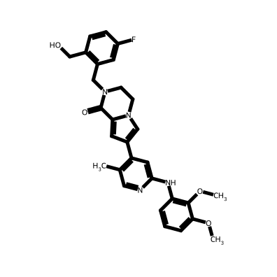 COc1cccc(Nc2cc(-c3cc4n(c3)CCN(Cc3cc(F)ccc3CO)C4=O)c(C)cn2)c1OC